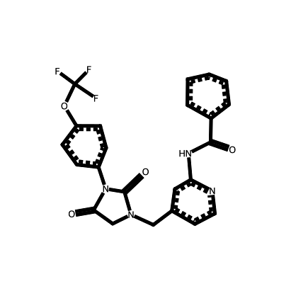 O=C(Nc1cc(CN2CC(=O)N(c3ccc(OC(F)(F)F)cc3)C2=O)ccn1)c1ccccc1